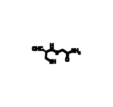 NC(=O)CSN[C@@H](C=O)CS